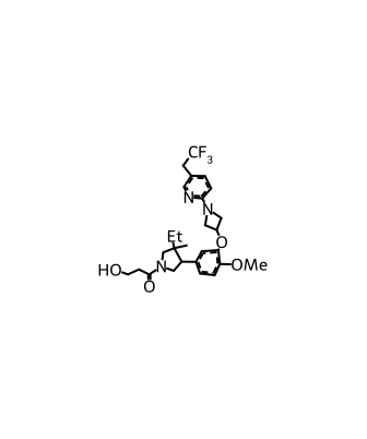 CCC1(C)CN(C(=O)CCO)CC1c1ccc(OC)c(OC2CN(c3ccc(CC(F)(F)F)cn3)C2)c1